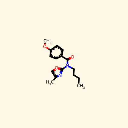 CCCCN(C(=O)c1ccc(OC)cc1)c1nc(C)co1